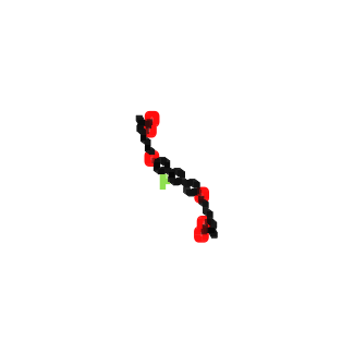 C=C1CC(CCCCOc2ccc(-c3ccc(-c4ccc(OCCCCC5CC(=C)C(=O)O5)cc4)c(F)c3)cc2)OC1=O